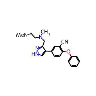 CNCCN(C)Cc1n[nH]cc1-c1ccc(Oc2ccccc2)c(C#N)c1